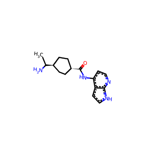 CC(N)[C@H]1CC[C@H](C(=O)Nc2ccnc3[nH]ccc23)CC1